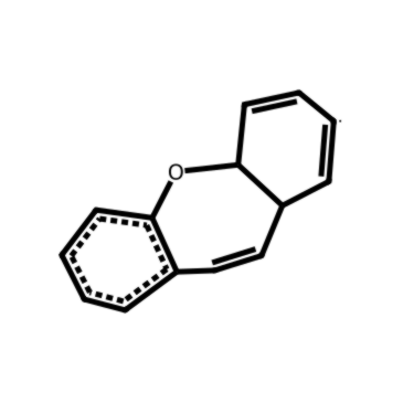 [C]1=CC2C=Cc3ccccc3OC2C=C1